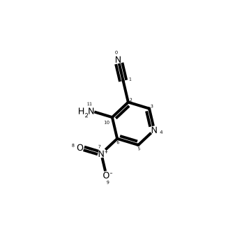 N#Cc1cncc([N+](=O)[O-])c1N